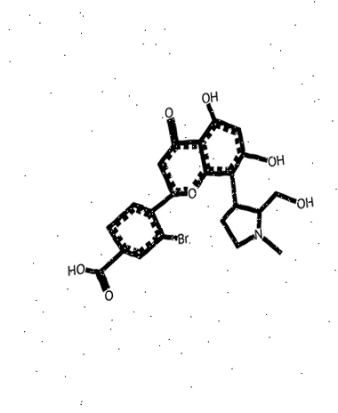 CN1CCC(c2c(O)cc(O)c3c(=O)cc(-c4ccc(C(=O)O)cc4Br)oc23)C1CO